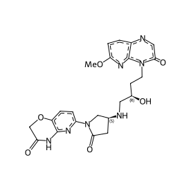 COc1ccc2ncc(=O)n(CC[C@@H](O)CN[C@H]3CC(=O)N(c4ccc5c(n4)NC(=O)CO5)C3)c2n1